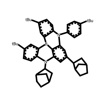 CC(C)(C)c1ccc(N2c3ccc(C(C)(C)C)cc3B3c4cc(C(C)(C)C)ccc4N(C4CC5CCC4C5)c4cc(C5CC6CCC5C6)cc2c43)cc1